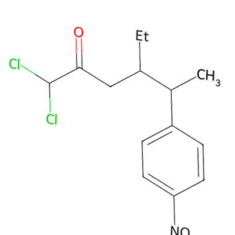 CCC(CC(=O)C(Cl)Cl)C(C)c1ccc([N+](=O)[O-])cc1